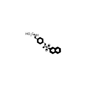 CN(C[C@H]1CC[C@H](CNC(=O)O)CC1)S(=O)(=O)c1ccc2ccccc2c1